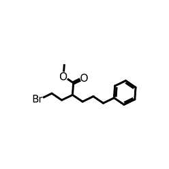 COC(=O)C(CCBr)CCCc1ccccc1